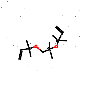 C=C[Si](C)(C)OC[Si](C)(C)O[Si](C)(C)C=C